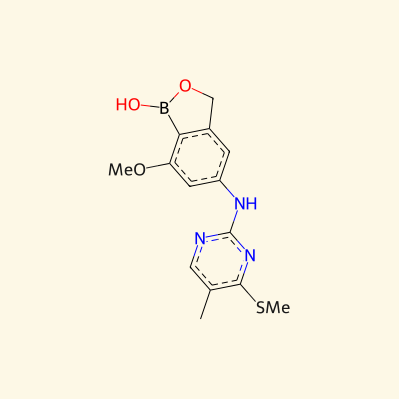 COc1cc(Nc2ncc(C)c(SC)n2)cc2c1B(O)OC2